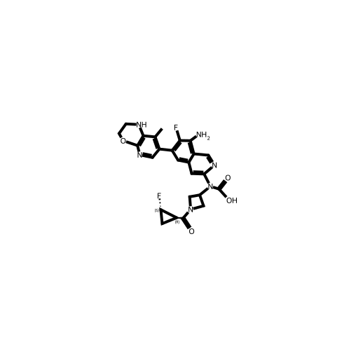 Cc1c(-c2cc3cc(N(C(=O)O)C4CN(C(=O)[C@H]5C[C@@H]5F)C4)ncc3c(N)c2F)cnc2c1NCCO2